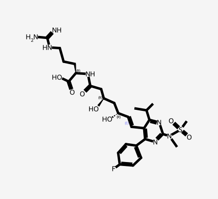 CC(C)c1nc(N(C)S(C)(=O)=O)nc(-c2ccc(F)cc2)c1/C=C/[C@H](O)C[C@@H](O)CC(=O)N[C@H](CCCNC(=N)N)C(=O)O